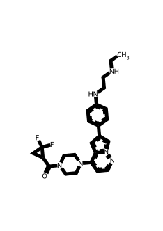 CCNCCNc1ccc(-c2cc3c(N4CCN(C(=O)C5CC5(F)F)CC4)ccnn3c2)cc1